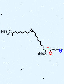 CCCCCCC(CCCCCCCCC1CC1CCCCCCC(C)C(=O)O)OC(=O)CCCN(C)C